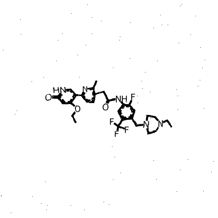 CCOc1cc(=O)[nH]cc1-c1ccc(CC(=O)Nc2cc(C(F)(F)F)c(CN3CCN(CC)CC3)cc2F)c(C)n1